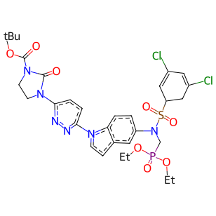 CCOP(=O)(CN(c1ccc2c(ccn2-c2ccc(N3CCN(C(=O)OC(C)(C)C)C3=O)nn2)c1)S(=O)(=O)C1C=C(Cl)C=C(Cl)C1)OCC